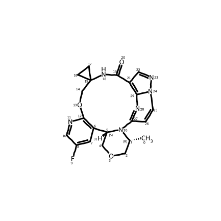 C[C@@H]1COC[C@@H]2c3cc(F)cnc3OCC3(CC3)NC(=O)c3cnn4ccc(nc34)N12